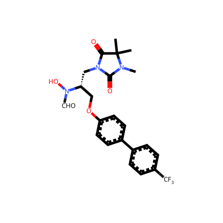 CN1C(=O)N(C[C@H](COc2ccc(-c3ccc(C(F)(F)F)cc3)cc2)N(O)C=O)C(=O)C1(C)C